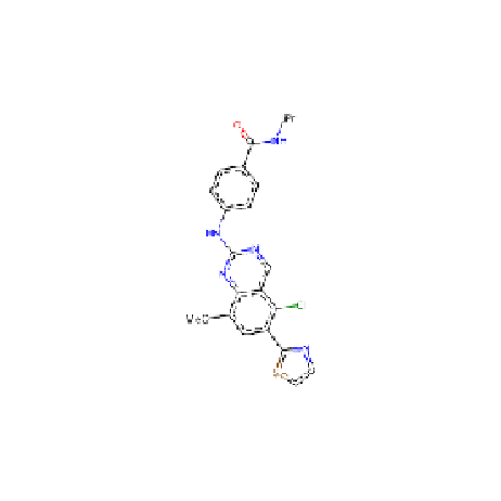 COc1cc(-c2nccs2)c(Cl)c2cnc(Nc3ccc(C(=O)NC(C)C)cc3)nc12